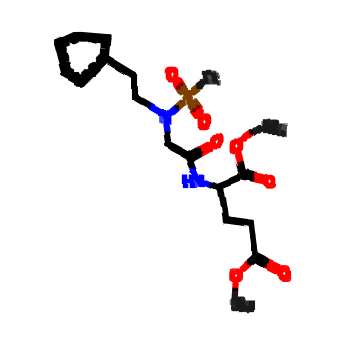 CCS(=O)(=O)N(CCc1ccccc1)CC(=O)NC(CCC(=O)OC(C)(C)C)C(=O)OC(C)(C)C